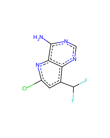 Nc1ncnc2c(C(F)F)cc(Cl)nc12